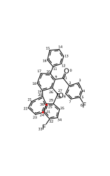 O=C(c1ccc(F)cc1)c1c(-c2ccccc2)ccc(-c2ccccc2)c1C(=O)c1ccc(F)cc1